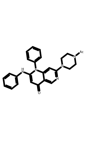 CC(=O)N1CCN(c2cc3c(cn2)c(=O)cc(Nc2ccccc2)n3-c2ccccc2)CC1